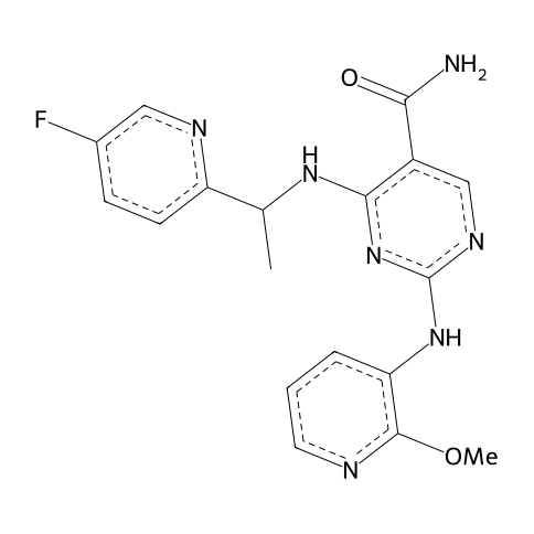 COc1ncccc1Nc1ncc(C(N)=O)c(NC(C)c2ccc(F)cn2)n1